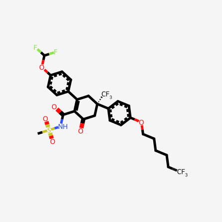 CS(=O)(=O)NC(=O)C1=C(c2ccc(OC(F)F)cc2)C[C@](c2ccc(OCCCCCC(F)(F)F)cc2)(C(F)(F)F)CC1=O